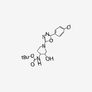 CC(C)(C)OC(=O)NC1CCN(c2nnc(-c3ccc(Cl)cc3)o2)CC1O